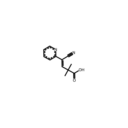 CC(C)(C=C(C#N)c1ccccn1)C(=O)O